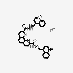 C[n+]1ccc(C=NNC(=O)c2ccc3ccc4ccc(C(=O)NN=Cc5cc[n+](C)c6ccccc56)nc4c3n2)c2ccccc21.[I-].[I-]